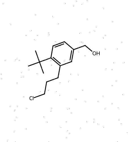 CC(C)(C)c1ccc(CO)cc1CCCCl